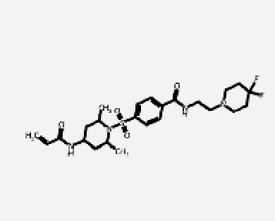 C=CC(=O)NC1CC(C)N(S(=O)(=O)c2ccc(C(=O)NCCN3CCC(F)(F)CC3)cc2)C(C)C1